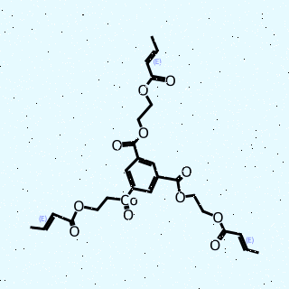 C/C=C/C(=O)OCCOC(=O)c1cc(C(=O)OCCOC(=O)/C=C/C)c[c]([Co](=[O])[CH2]COC(=O)/C=C/C)c1